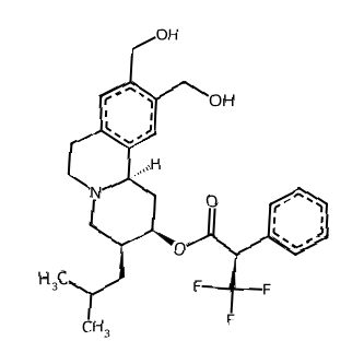 CC(C)C[C@H]1CN2CCc3cc(CO)c(CO)cc3[C@H]2C[C@H]1OC(=O)[C@@H](c1ccccc1)C(F)(F)F